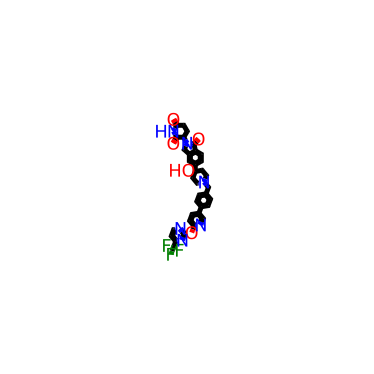 O=C1CCC(N2Cc3cc(C4(O)CCN(Cc5ccc(-c6ccc(Oc7nccc(C(F)(F)F)n7)nc6)cc5)CC4)ccc3C2=O)C(=O)N1